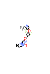 O=c1nc(OCc2cc(F)c(Oc3ccnc(C(F)(F)F)c3)c(F)c2)cc2n1CC1CC3(CC3)CN21